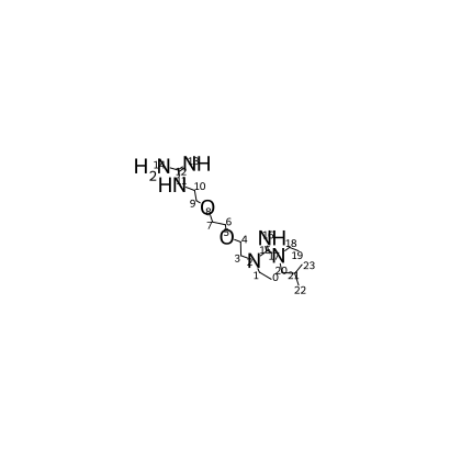 CCN(CCOCCOCCNC(=N)N)C(=N)N(CC)CC(C)C